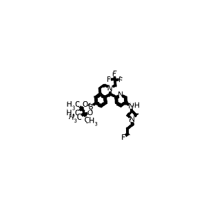 CC1(C)OB(c2ccc3c(c2)CCN(CC(F)(F)F)C3c2ccc(NC3CN(CCCF)C3)cn2)OC1(C)C